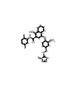 Cc1ccc(C)c(NC(=O)c2cc(Oc3ccc(CSc4nnnn4C)cc3[N+](=O)[O-])c3ccccc3c2O)c1